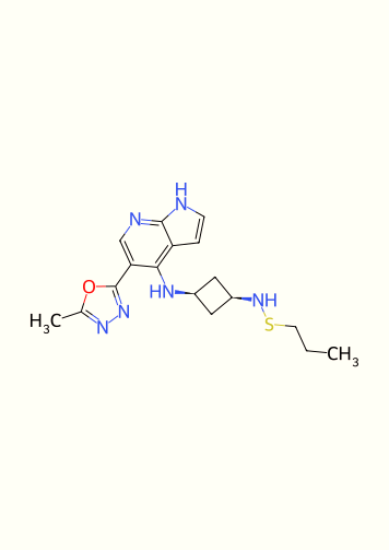 CCCSN[C@H]1C[C@@H](Nc2c(-c3nnc(C)o3)cnc3[nH]ccc23)C1